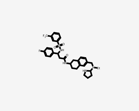 CCN(Cc1ccc2c(c1)CCC(NC(=O)CC(NS(=O)(=O)c1cccc(C(F)(F)F)c1)c1ccc(F)cc1)C2)C1CCCN1